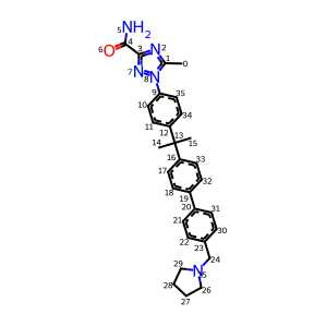 Cc1nc(C(N)=O)nn1-c1ccc(C(C)(C)c2ccc(-c3ccc(CN4CCCC4)cc3)cc2)cc1